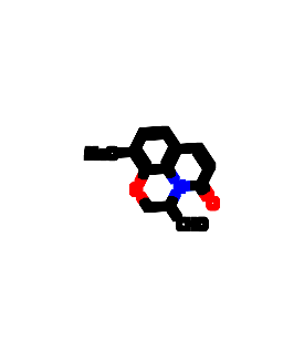 COc1ccc2ccc(=O)n3c2c1OCC3C=O